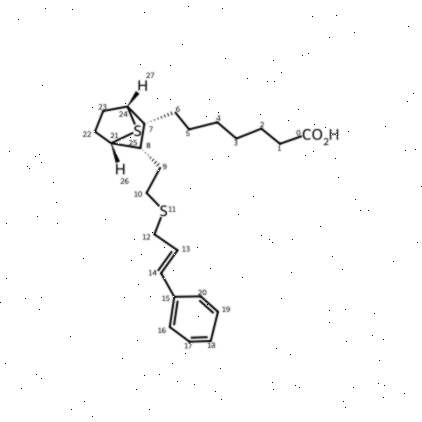 O=C(O)CCCCCC[C@@H]1[C@H](CCSCC=Cc2ccccc2)[C@@H]2CC[C@H]1S2